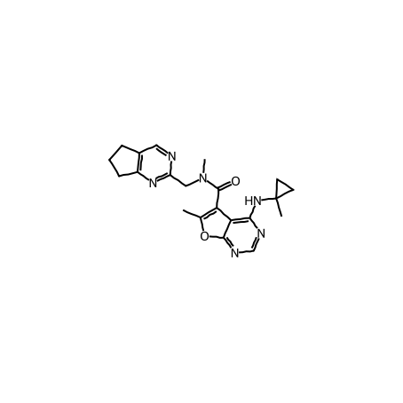 Cc1oc2ncnc(NC3(C)CC3)c2c1C(=O)N(C)Cc1ncc2c(n1)CCC2